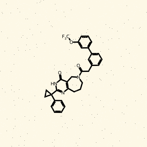 O=C(Cc1cccc(-c2cccc(OC(F)(F)F)c2)c1)N1CCCc2nc(C3(c4ccccc4)CC3)[nH]c(=O)c2C1